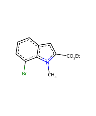 CCOC(=O)c1cc2cccc(Br)c2n1C